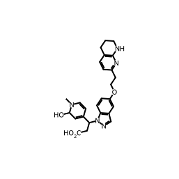 CN1C=CC(C(CC(=O)O)n2ncc3cc(OCCc4ccc5c(n4)NCCC5)ccc32)=CC1O